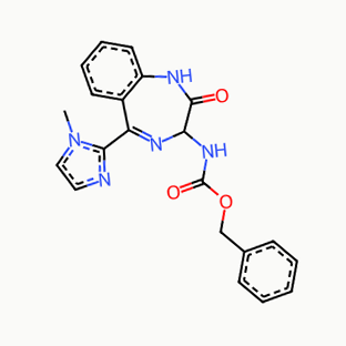 Cn1ccnc1C1=NC(NC(=O)OCc2ccccc2)C(=O)Nc2ccccc21